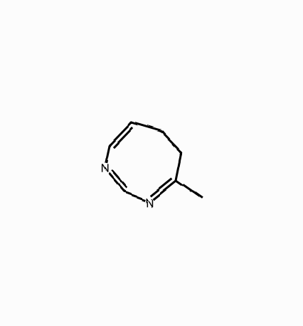 C/C1=N/C=N\C=C/CC1